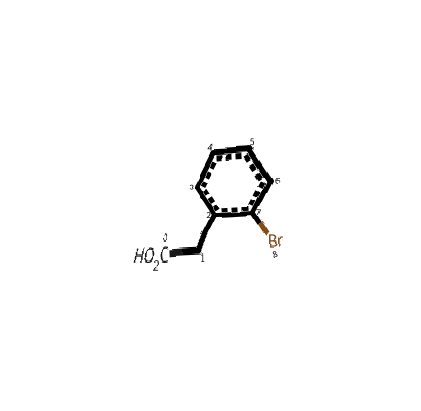 O=C(O)Cc1cc[c]cc1Br